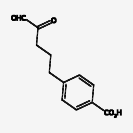 O=CC(=O)CCCc1ccc(C(=O)O)cc1